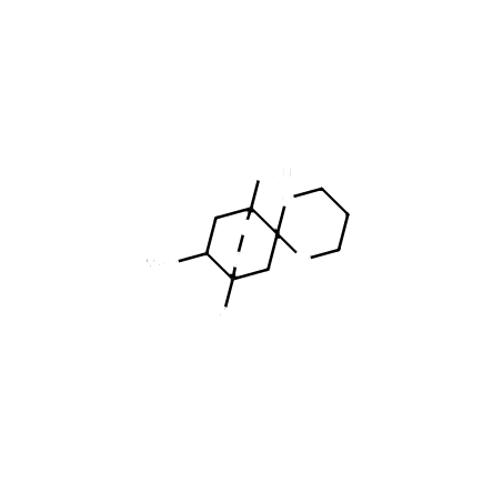 COC1CC2(C(=O)O)CCC1(C(=O)O)CC21OCCCO1